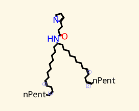 CCCCC/C=C\C/C=C\CCCCCCCCC(CCCCCCCC/C=C\C/C=C\CCCCC)NC(=O)CCC1=CCC=N1